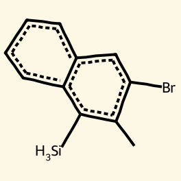 Cc1c(Br)cc2ccccc2c1[SiH3]